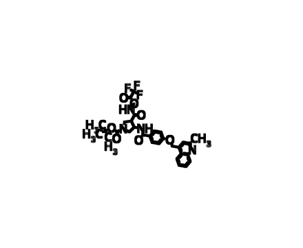 Cc1cc(COc2ccc(C(=O)NC3CN(C(=O)OC(C)(C)C)CC3C(=O)NOC(=O)C(F)(F)F)cc2)c2ccccc2n1